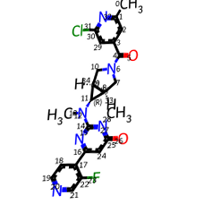 Cc1cc(C(=O)N2C[C@@H]3[C@H](C2)[C@@H]3N(C)c2nc(-c3ccncc3F)cc(=O)n2C)cc(Cl)n1